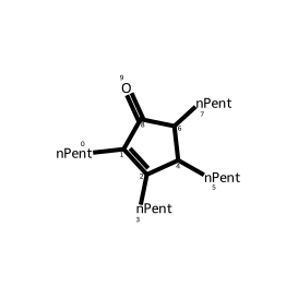 CCCCCC1=C(CCCCC)C(CCCCC)C(CCCCC)C1=O